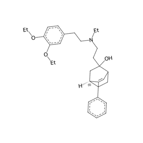 CCOc1ccc(CCN(CC)CCC2(O)C[C@@H]3CCC2C=C3c2ccccc2)cc1OCC